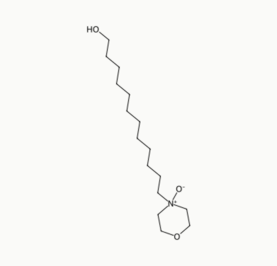 [O-][N+]1(CCCCCCCCCCCCO)CCOCC1